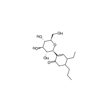 CCCC1CC(=O)C([C@@H]2O[C@H](CO)[C@@H](O)[C@H](O)[C@H]2O)=CC1CC